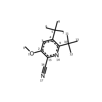 COc1cc(C(C)(C)C)c(C(C)(C)C)nc1C#N